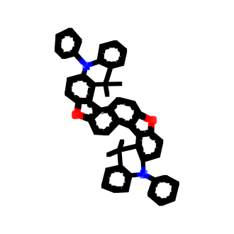 CC1(C)c2ccccc2N(c2ccccc2)c2ccc3oc4ccc5c(ccc6oc7ccc8c(c7c65)C(C)(C)c5ccccc5N8c5ccccc5)c4c3c21